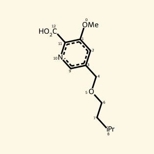 COc1cc(COCCC(C)C)cnc1C(=O)O